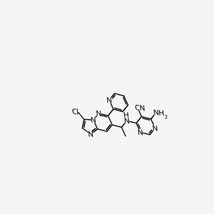 CC(Nc1ncnc(N)c1C#N)c1cc2ncc(Cl)n2nc1-c1ccccn1